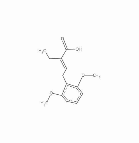 CC/C(=C\Cc1c(OC)cccc1OC)C(=O)O